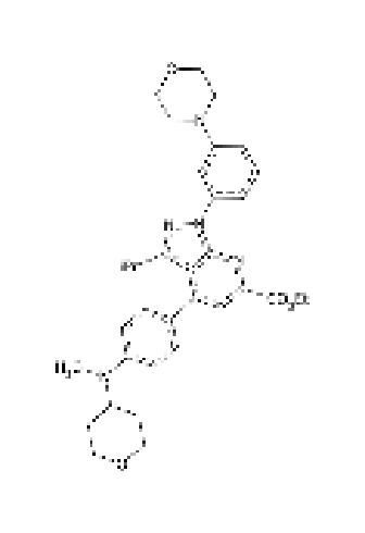 CCOC(=O)c1cc(-c2ccc(N(C)C3CCOCC3)cc2)c2c(C(C)C)nn(-c3cccc(N4CCOCC4)c3)c2n1